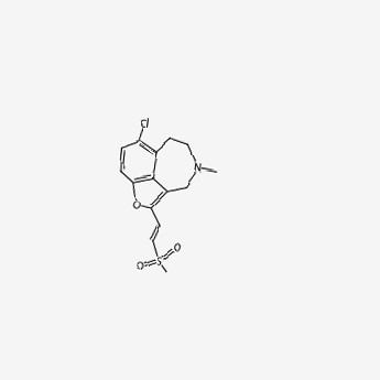 CN1CCc2c(Cl)ccc3oc(C=CS(C)(=O)=O)c(c23)C1